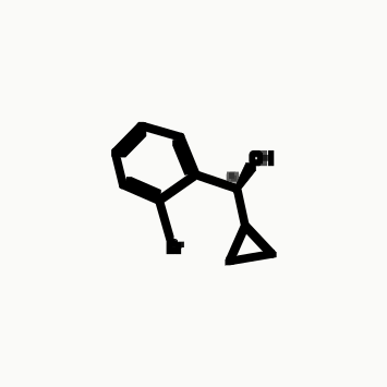 O[C@H](c1ccccc1Br)C1CC1